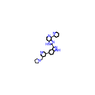 c1ccc(-c2nccc3[nH]c(-c4n[nH]c5ccc(-c6cncc(CN7CCCC7)c6)cc45)nc23)nc1